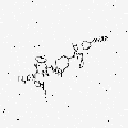 COc1ccc(C(=O)NC2CCC(Nc3cc(C(F)(F)F)nc(N(C)C)n3)CC2)cc1